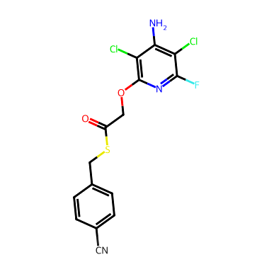 N#Cc1ccc(CSC(=O)COc2nc(F)c(Cl)c(N)c2Cl)cc1